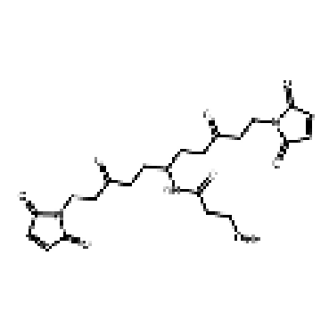 COCCC(=O)NC(CCC(=O)CCN1C(=O)C=CC1=O)CCC(=O)CCN1C(=O)C=CC1=O